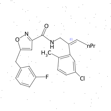 CCC/C=C(/CNC(=O)c1cc(Cc2cccc(F)c2)on1)c1cc(Cl)ccc1C